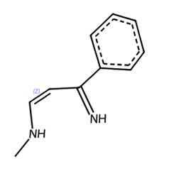 CN/C=C\C(=N)c1ccccc1